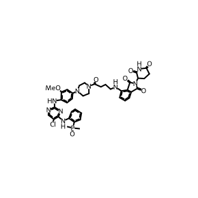 COc1cc(N2CCN(C(=O)CCCNc3cccc4c3C(=O)N(C3CCC(=O)NC3=O)C4=O)CC2)ccc1Nc1ncc(Cl)c(Nc2ccccc2P(C)(C)=O)n1